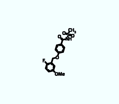 COc1ccc(F)c(COc2ccc(C(=O)NS(C)(=O)=O)cc2)c1